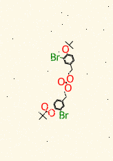 CC(C)(C)Oc1ccc(CCOC(=O)OCCc2ccc(OC(=O)C(C)(C)C)c(Br)c2)cc1Br